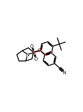 CC(C)(C)c1ccc(S(=O)(=O)N2C3CCC2CC(Oc2ccc(C#N)cn2)C3)cc1